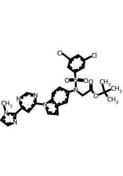 Cn1ccnc1-c1cc(-n2ccc3cc(N(CC(=O)OC(C)(C)C)S(=O)(=O)c4cc(Cl)cc(Cl)c4)ccc32)ncn1